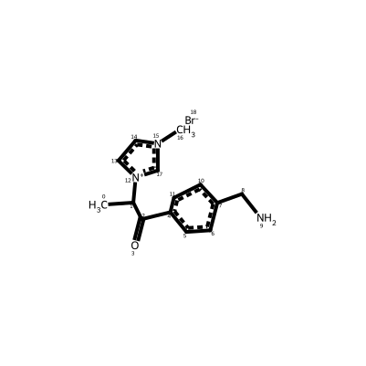 CC(C(=O)c1ccc(CN)cc1)[n+]1ccn(C)c1.[Br-]